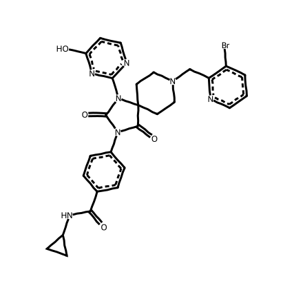 O=C(NC1CC1)c1ccc(N2C(=O)N(c3nccc(O)n3)C3(CCN(Cc4ncccc4Br)CC3)C2=O)cc1